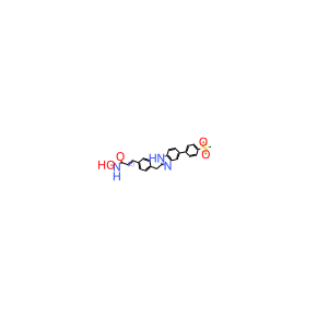 CS(=O)(=O)c1ccc(-c2ccc3[nH]c(Cc4ccc(/C=C/C(=O)NO)cc4)nc3c2)cc1